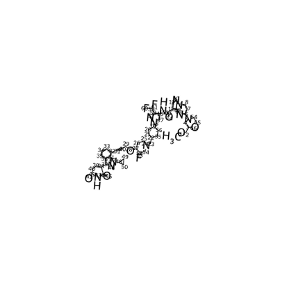 COCC1CN(c2ccn3ncc(C(=O)Nc4cn([C@H]5CC[C@H](CN6CC[C@H](OCC#Cc7cccc8c(C9CCC(=O)NC9=O)nn(C9CC9)c78)[C@H](F)C6)CC5)nc4C(F)F)c3n2)CCO1